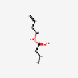 C=CCCOC(=O)CCC